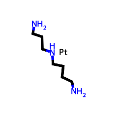 NCCCCNCCCN.[Pt]